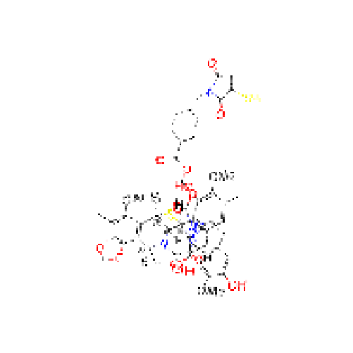 COc1cc2c(cc1O)CCN(C(=O)OCOC(=O)C1CCC(CN3C(=O)CC(S)C3=O)CC1)[C@]21CS[C@@H]2c3c(OC(C)=O)c(C)c4c(c3[C@H](COC1=O)N1C(O)[C@@H]3Cc5cc(C)c(OC)c(O)c5[C@H]([C@H]21)N3C)OCO4